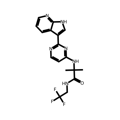 CC(C)(Nc1ccnc(-c2c[nH]c3ncccc23)n1)C(=O)NCC(F)(F)F